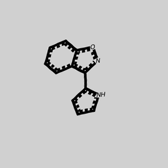 c1c[nH]c(-c2noc3ccccc23)c1